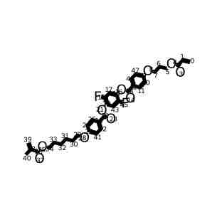 C=CC(=O)OCCCOc1ccc(C(=O)Oc2cc(F)c(OC(=O)c3ccc(OCCCCCCOC(=O)C(=C)C)cc3)cc2F)cc1